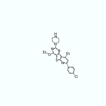 CCOc1nc(N2CCNCC2)nc2c1sc1nc(-c3ccc(Cl)cc3)cc(CC)c12